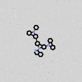 c1ccc(-n2c3ccccc3c3cc(-c4ccc5c(c4)c4cc(-n6c7ccccc7c7ccccc76)ccc4n5-c4nccc5ccccc45)ccc32)cc1